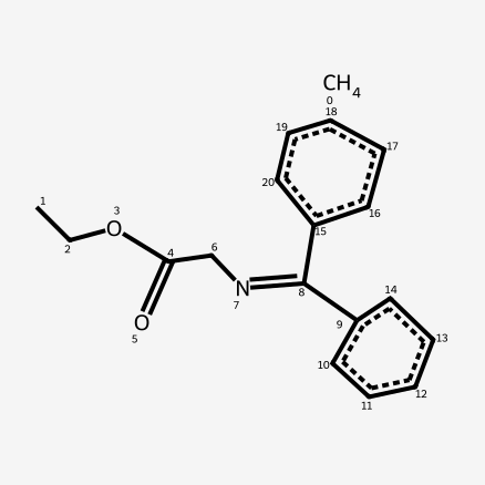 C.CCOC(=O)CN=C(c1ccccc1)c1ccccc1